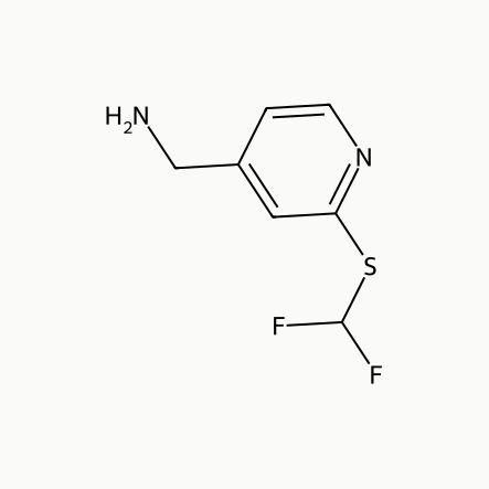 NCc1ccnc(SC(F)F)c1